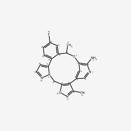 CC1Oc2cc(cnc2N)-c2c(C#N)noc2Cn2nccc2-c2ccc(F)cc21